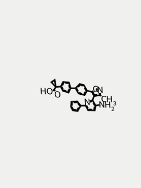 Cc1noc(-c2ccc(-c3ccc(C4(C(=O)O)CC4)cc3)cc2)c1-c1nc(-c2ccccc2)ccc1N